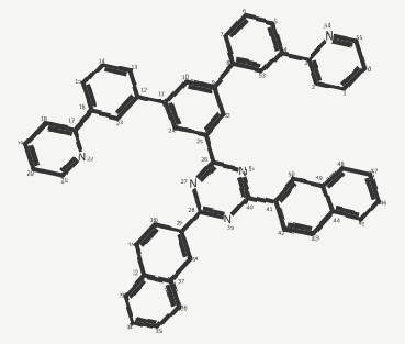 c1ccc(-c2cccc(-c3cc(-c4cccc(-c5ccccn5)c4)cc(-c4nc(-c5ccc6ccccc6c5)nc(-c5ccc6ccccc6c5)n4)c3)c2)nc1